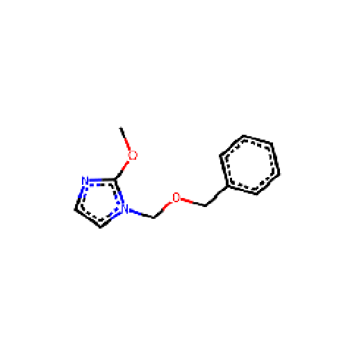 COc1nccn1COCc1ccccc1